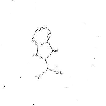 CC(C)C1Nc2ccccc2N1